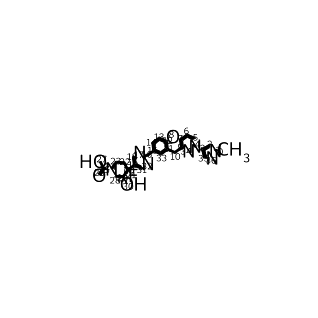 Cn1cc(-n2ccc(=O)c(Cc3cccc(-c4ncc([C@]5(F)CCN(C(=O)O)C[C@@H]5O)cn4)c3)n2)cn1